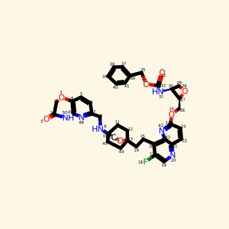 O=C1COc2ccc(CNC34CCC(CCc5c(F)cnc6ccc(OC[C@@H]7OC[C@@H]7NC(=O)OCc7ccccc7)nc56)(CC3)OC4)nc2N1